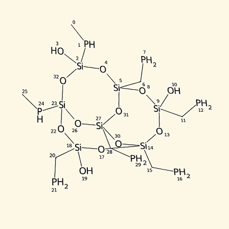 CP[Si]1(O)O[Si]2(CP)O[Si](O)(CP)O[Si]3(CP)O[Si](O)(CP)O[Si](PC)(O[Si](CP)(O3)O2)O1